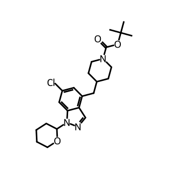 CC(C)(C)OC(=O)N1CCC(Cc2cc(Cl)cc3c2cnn3C2CCCCO2)CC1